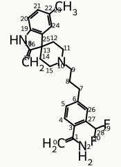 C=C(N)c1ccc(CCCN2CCC3(CC2)C(=C)Nc2ccc(C)cc23)cc1C(F)F